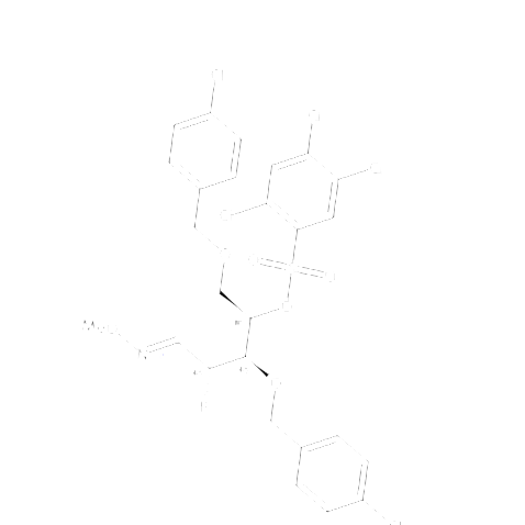 CO/N=C/[C@@H](F)[C@H](OCc1ccc(Cl)cc1)[C@@H](COCc1ccc(Cl)cc1)OS(=O)(=O)c1cc(Cl)c(Cl)cc1Cl